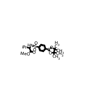 COC(=O)C(NS(=O)(=O)c1ccc(B2OC(C)(C)C(C)(C)O2)cc1)C(C)C